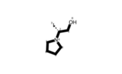 OC[C@@H](I)N1CCCC1